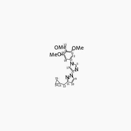 COc1cc(-n2cnc(-n3ccc(CC4CC4)n3)c2)cc(OC)c1OC